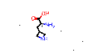 N[C@@H](CC1CNC1)C(=O)O